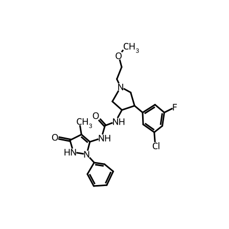 COCCN1CC(NC(=O)Nc2c(C)c(=O)[nH]n2-c2ccccc2)C(c2cc(F)cc(Cl)c2)C1